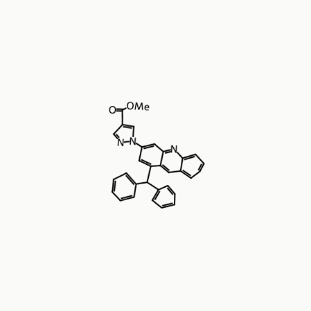 COC(=O)c1cnn(-c2cc(C(c3ccccc3)c3ccccc3)c3cc4ccccc4nc3c2)c1